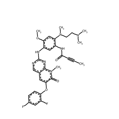 CC#CC(=O)Nc1cc(Nc2ncc3cc(Oc4ccc(F)cc4F)c(=O)n(C)c3n2)c(OC)cc1N(C)CCN(C)C